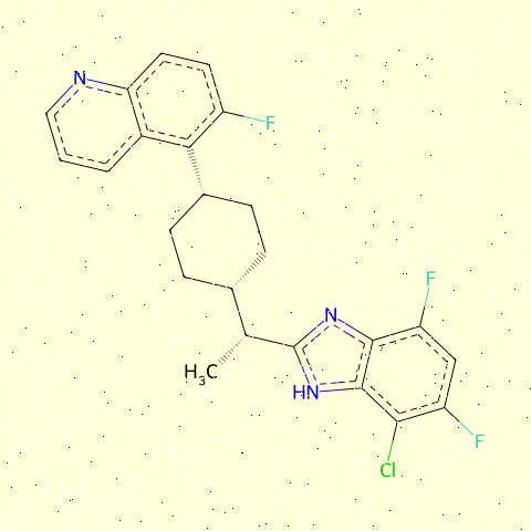 C[C@@H](c1nc2c(F)cc(F)c(Cl)c2[nH]1)[C@H]1CC[C@@H](c2c(F)ccc3ncccc32)CC1